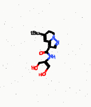 CC(C)(C)c1ccn2ncc(C(=O)NC(CO)CO)c2c1